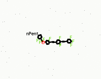 CCCCCc1ccc(C(F)(F)Oc2ccc(C#Cc3cc(F)c(C#Cc4cc(F)c(F)c(F)c4)c(F)c3)c(F)c2)c(F)c1